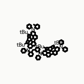 Cc1ccccc1N(c1ccccc1)c1ccc2c3c(ccc2c1)-c1ccc2cc(N(c4ccccc4)c4ccccc4Cc4cccc(N(c5ccccc5)c5ccc6c7c(ccc6c5)-c5ccc6cc(N(c8ccccc8)c8ccccc8)ccc6c5C75c6ccc(C(C)(C)C)cc6-c6cc(C(C)(C)C)ccc65)c4)ccc2c1C31c2ccc(C(C)(C)C)cc2-c2cc(C(C)(C)C)ccc21